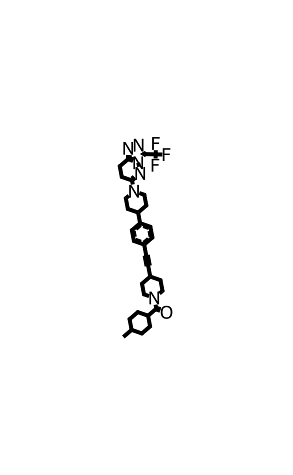 CC1CCC(C(=O)N2CCC(C#Cc3ccc(C4CCN(C5=Nn6c(nnc6C(F)(F)F)CC5)CC4)cc3)CC2)CC1